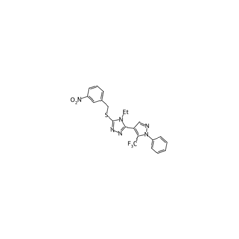 CCn1c(SCc2cccc([N+](=O)[O-])c2)nnc1-c1cnn(-c2ccccc2)c1C(F)(F)F